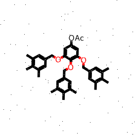 CC(=O)Oc1cc(OCc2cc(C)c(C)c(C)c2)c(OCc2cc(C)c(C)c(C)c2)c(OCc2cc(C)c(C)c(C)c2)c1